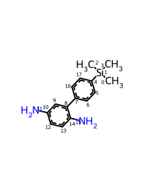 C[Si](C)(C)c1ccc(-c2cc(N)ccc2N)cc1